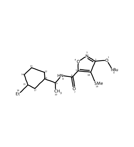 CCCCOc1noc(C(=O)NC(C)C2CCCC(CC)C2)c1SC